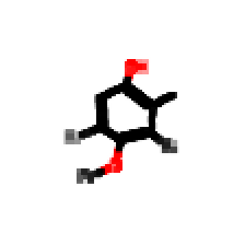 CCc1cc(O)c(C)c(CC)c1OC(C)C